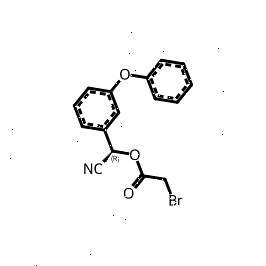 N#C[C@H](OC(=O)CBr)c1cccc(Oc2ccccc2)c1